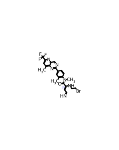 Cc1cc(-c2ncc3nc(C(F)(F)F)cc(C)c3n2)ccc1N(C)C(=O)/C(=C/C=N)NCCBr